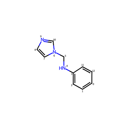 c1ccc(NCn2ccnc2)cc1